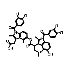 CCCC(C(=O)Oc1ccc2c(c1F)c(CC(=O)O)c(C)n2C(=O)c1ccc(Cl)c(Cl)c1)c1c(C)n(C(=O)c2ccc(Cl)c(Cl)c2)c2ccc(O)c(F)c12